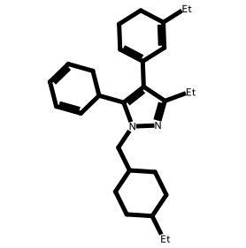 CCC1=CC(c2c(CC)nn(CC3CCC(CC)CC3)c2C2C=CC=CC2)=CCC1